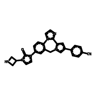 N#Cc1ccc(-c2cc3n(c2)Cc2cc(-n4ccn(C5CNC5)c4=O)ccc2-n2ccnc2-3)cc1